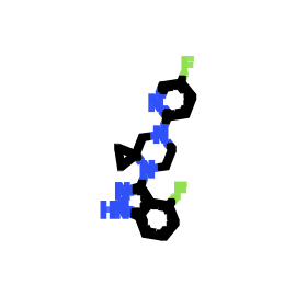 Fc1ccc(N2CCN(c3n[nH]c4cccc(F)c34)C3(CC3)C2)nc1